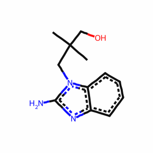 CC(C)(CO)Cn1c(N)nc2ccccc21